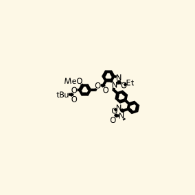 CCOc1nc2cccc(C(=O)OCc3ccc(OC(=O)C(C)(C)C)c(OC)c3)c2n1Cc1ccc(-c2ccccc2-c2noc(=O)n2C)cc1